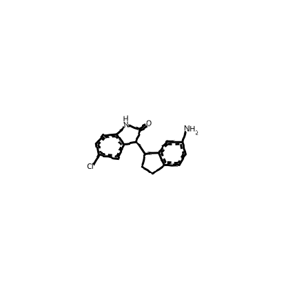 Nc1ccc2c(c1)C(C1C(=O)Nc3ccc(Cl)cc31)CC2